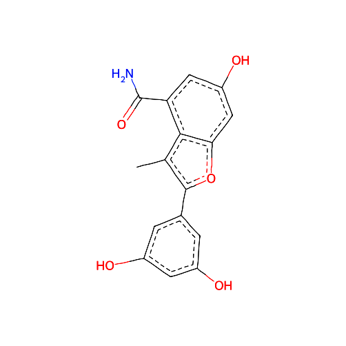 Cc1c(-c2cc(O)cc(O)c2)oc2cc(O)cc(C(N)=O)c12